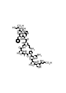 C[C@H](NC(=O)[C@@H]1CCCN1C(=O)[C@H](CC(N)=O)NC(=O)[C@H](CS)NC(=O)[C@H](CS)NC(=O)[C@@H](N)CCC(=O)O)C(=O)N[C@@H](CS)C(=O)NCC(=O)N[C@@H](CCCCN)C(=O)N[C@@H](Cc1c[nH]cn1)C(=O)N[C@@H](Cc1ccccc1)C(=O)N[C@@H](CO)C(=O)N[C@@H](CS)C(=O)O